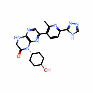 Cc1nc(-c2nnc[nH]2)ccc1-c1cnc2c(n1)N([C@H]1CC[C@H](O)CC1)C(=O)CN2